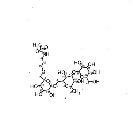 CC1OC(COC2OC(COCCCNS(C)(=O)=O)C(O)C(O)C2O)C(O)C(OC2OC(CO)C(O)C(O)C2O)C1O